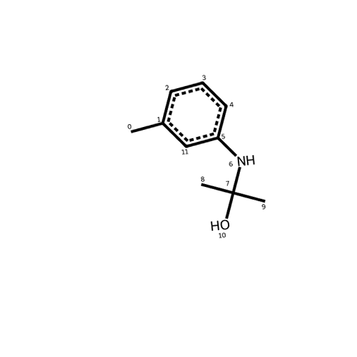 Cc1cccc(NC(C)(C)O)c1